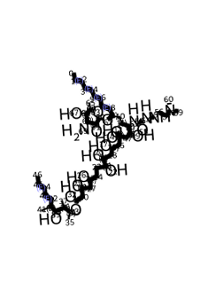 C/C=C/C=C/C=C/C=C/[C@@H](C[C@@H]1O[C@](O)(C[C@@H](O)C[C@@H](O)[C@H](O)CC[C@@H](O)C[C@@H](O)CC(=O)O[C@@H](C)[C@H](C)[C@H](O)[C@@H](C)/C=C/C=C/C)C[C@H](O)[C@H]1NC(=O)NNCCN(C)C)O[C@@H]1O[C@H](C)[C@@H](O)[C@H](N)[C@@H]1O